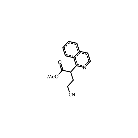 COC(=O)C(CCC#N)c1nccc2ccccc12